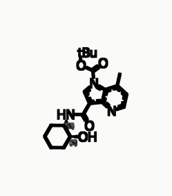 Cc1ccnc2c(C(=O)N[C@H]3CCCC[C@@H]3O)cn(C(=O)OC(C)(C)C)c12